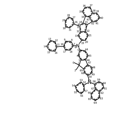 CC1(C)c2cc(N(c3ccc(-c4ccccc4)cc3)c3ccc4c5c(n(-c6ccccc6)c4c3)-c3cccc4cccc-5c34)ccc2-c2ccc(N(c3ccccc3)c3cccc4ccccc34)cc21